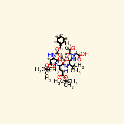 CC(=O)C(=O)N(CC(=O)O)NC(=O)C(NC(=O)C(CCC(=O)OC(C)(C)C)NC(=O)C(CC(=O)OC(C)(C)C)NC(=O)OCc1ccccc1)C(C)C